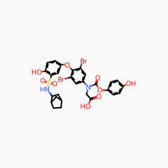 O=C(O)CN(C(=O)Oc1ccc(O)cc1)c1cc(Br)c(Oc2ccc(O)c(S(=O)(=O)NC3CC4CCC3C4)c2)c(Br)c1